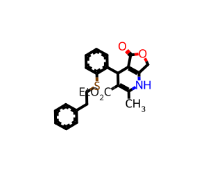 CCOC(=O)C1=C(C)NC2=C(C(=O)OC2)C1c1ccccc1SCCc1ccccc1